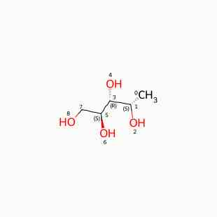 C[C@H](O)[C@@H](O)[C@@H](O)CO